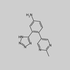 Cc1ncc(-c2ccc(N)cc2-c2nnn[nH]2)cn1